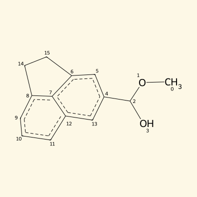 COC(O)c1cc2c3c(cccc3c1)CC2